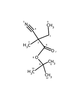 CCC(C)(C#N)C(=O)OC(C)(C)C